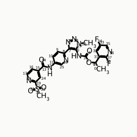 C[C@@H](OC(=O)Nc1c(-c2ccc(NC(=O)c3ccnc(S(C)(=O)=O)c3)cn2)nnn1C)c1cc(F)cnc1F